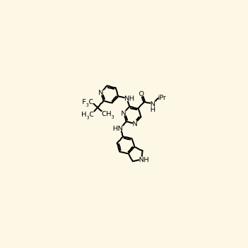 CC(C)NC(=O)c1cnc(Nc2ccc3c(c2)CNC3)nc1Nc1ccnc(C(C)(C)C(F)(F)F)c1